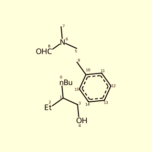 CCCCC(CC)CO.CN(C)C=O.Cc1ccccc1